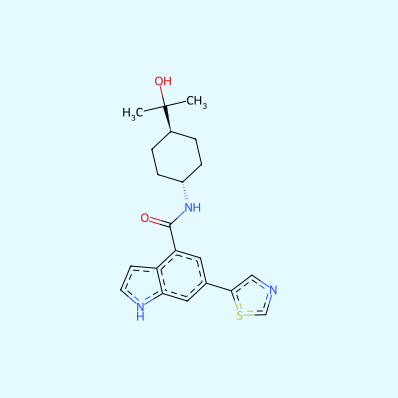 CC(C)(O)[C@H]1CC[C@H](NC(=O)c2cc(-c3cncs3)cc3[nH]ccc23)CC1